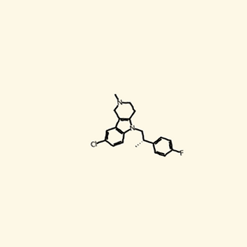 C[C@H](Cn1c2c(c3cc(Cl)ccc31)CN(C)CC2)c1ccc(F)cc1